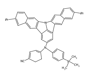 CC(C)c1ccc2cc3c(cc2c1)c1cc(N(C2=CC=C(C#N)CC2)c2ccc([Si](C)(C)C)cc2)cc2c4cc5cc(C(C)C)ccc5cc4n3c12